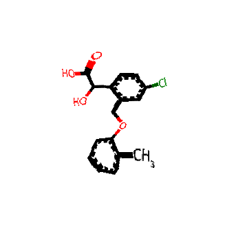 Cc1ccccc1OCc1cc(Cl)ccc1C(O)C(=O)O